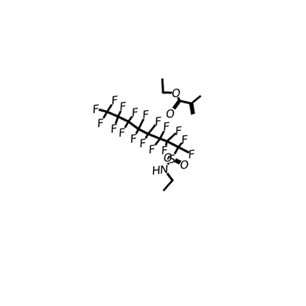 C=C(C)C(=O)OCC.CCNS(=O)(=O)C(F)(F)C(F)(F)C(F)(F)C(F)(F)C(F)(F)C(F)(F)C(F)(F)C(F)(F)F